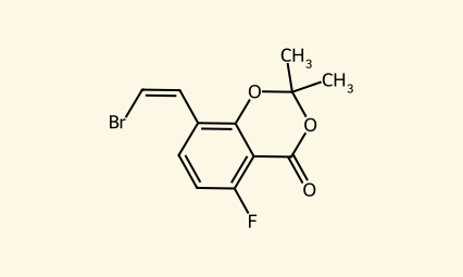 CC1(C)OC(=O)c2c(F)ccc(/C=C\Br)c2O1